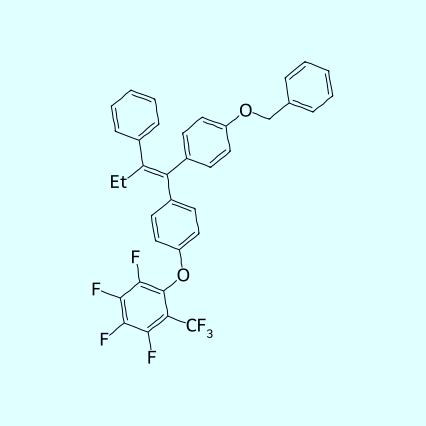 CCC(=C(c1ccc(OCc2ccccc2)cc1)c1ccc(Oc2c(F)c(F)c(F)c(F)c2C(F)(F)F)cc1)c1ccccc1